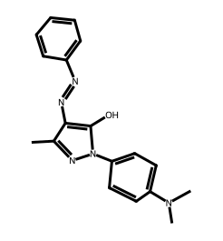 Cc1nn(-c2ccc(N(C)C)cc2)c(O)c1N=Nc1ccccc1